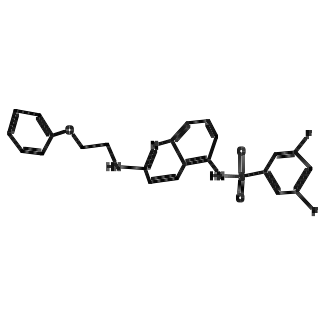 O=S(=O)(Nc1cccc2nc(NCCOc3ccccc3)ccc12)c1cc(F)cc(F)c1